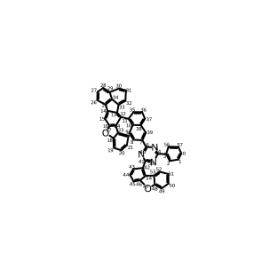 c1ccc(-c2nc(-c3ccc4c(-c5c6c(cc7oc8ccccc8c57)-c5cccc7cccc-6c57)cccc4c3)nc(-c3cccc4oc5ccccc5c34)n2)cc1